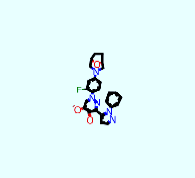 COc1cn(-c2ccc(N3CC4CCC(C3)O4)cc2F)nc(-c2ccnn2-c2ccccc2)c1=O